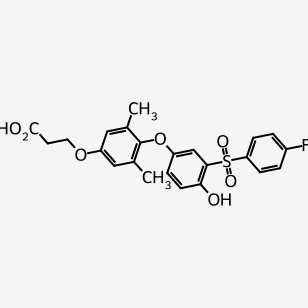 Cc1cc(OCCC(=O)O)cc(C)c1Oc1ccc(O)c(S(=O)(=O)c2ccc(F)cc2)c1